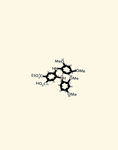 CCOC(=O)c1cc(Nc2ccc(OC)cc2OC)c(Nc2ccc(OC)cc2OC)cc1C(=O)O